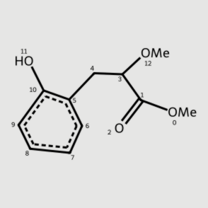 COC(=O)C(Cc1ccccc1O)OC